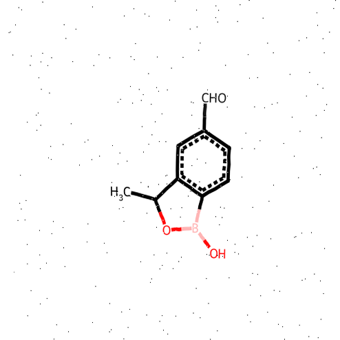 CC1OB(O)c2ccc(C=O)cc21